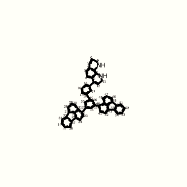 C1=Cc2ccc3c(c2NC1)NCC=C3c1cccc(-c2cc(-c3ccc4c5c(cccc35)-c3ccccc3-4)cc(-c3ccc4c5c(cccc35)-c3ccccc3-4)c2)c1